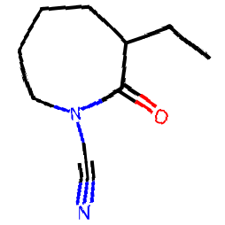 CCC1CCCCN(C#N)C1=O